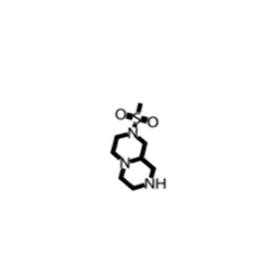 CS(=O)(=O)N1CCN2CCNCC2C1